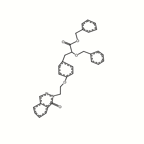 O=C(OCc1ccccc1)C(Cc1ccc(OCCn2ncc3ccccc3c2=O)cc1)OCc1ccccc1